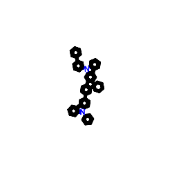 c1ccc(-c2cccc(-n3c4ccccc4c4cc5c(cc43)-c3ccc(-c4ccc6c(c4)c4ccccc4n6-c4ccccc4)cc3C53CCCCC3)c2)cc1